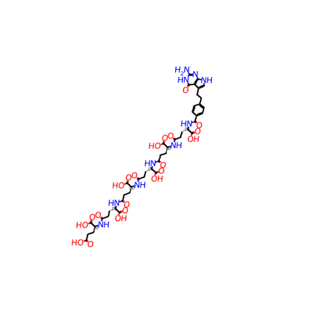 Nc1nc2[nH]cc(CCc3ccc(C(=O)N[C@@H](CCC(=O)N[C@@H](CCC(=O)N[C@@H](CCC(=O)N[C@@H](CCC(=O)N[C@@H](CCC(=O)N[C@@H](CCC(=O)O)C(=O)O)C(=O)O)C(=O)O)C(=O)O)C(=O)O)C(=O)O)cc3)c2c(=O)[nH]1